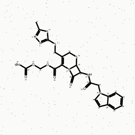 Cc1nnc(SCC2=C(C(=O)OCOC(=O)C(C)(C)C)N3C(=O)C(NC(=O)Cn4ccc5ccccc54)C3SC2)s1